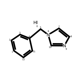 I.c1ccc(Cn2ccnc2)cc1